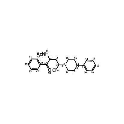 CC(=O)NC(CC(Cl)N1CCN(c2ccccc2)CC1)C(=O)c1ccccc1